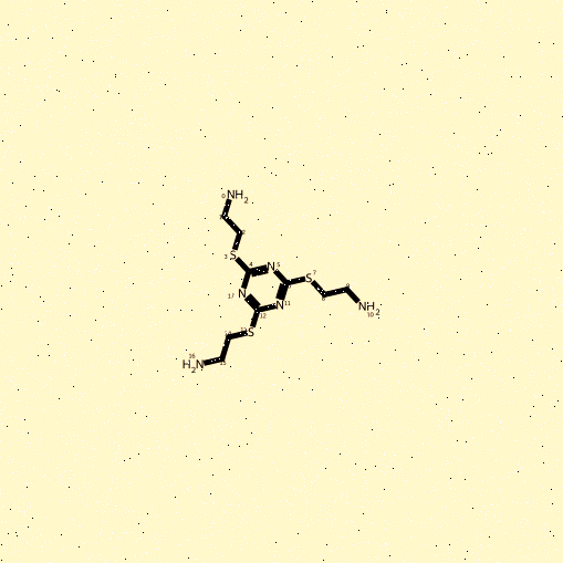 NCCSc1nc(SCCN)nc(SCCN)n1